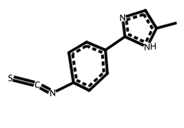 Cc1cnc(-c2ccc(N=C=S)cc2)[nH]1